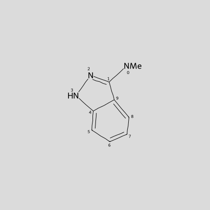 [CH2]Nc1n[nH]c2ccccc12